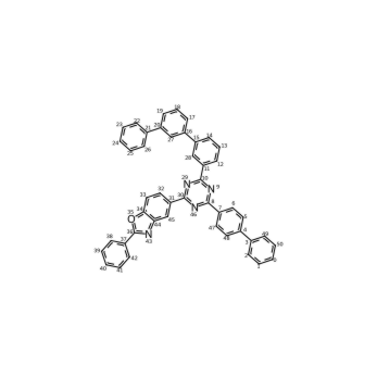 c1ccc(-c2ccc(-c3nc(-c4cccc(-c5cccc(-c6ccccc6)c5)c4)nc(-c4ccc5oc(-c6ccccc6)nc5c4)n3)cc2)cc1